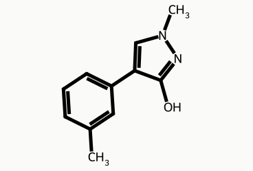 Cc1cccc(-c2cn(C)nc2O)c1